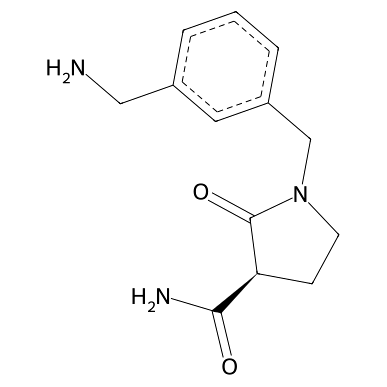 NCc1cccc(CN2CC[C@@H](C(N)=O)C2=O)c1